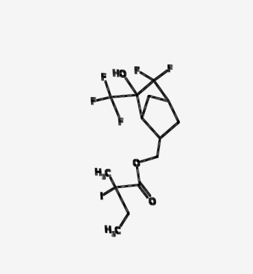 CCC(C)(I)C(=O)OCC1CC2CC1C(O)(C(F)(F)F)C2(F)F